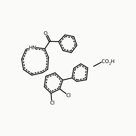 CC(=O)O.Clc1cccc(-c2ccccc2)c1Cl.O=C(c1ccccc1)c1ccccccc[nH]1